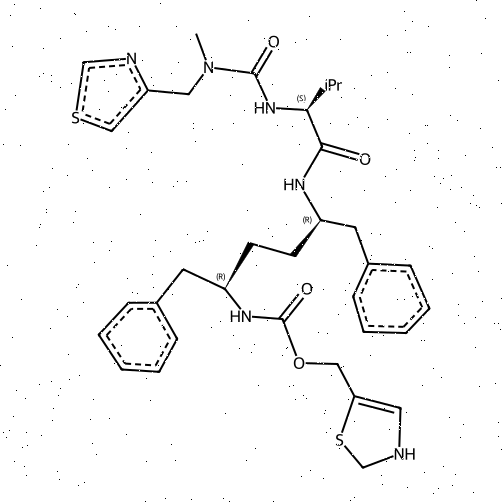 CC(C)[C@H](NC(=O)N(C)Cc1cscn1)C(=O)N[C@H](CC[C@H](Cc1ccccc1)NC(=O)OCC1=CNCS1)Cc1ccccc1